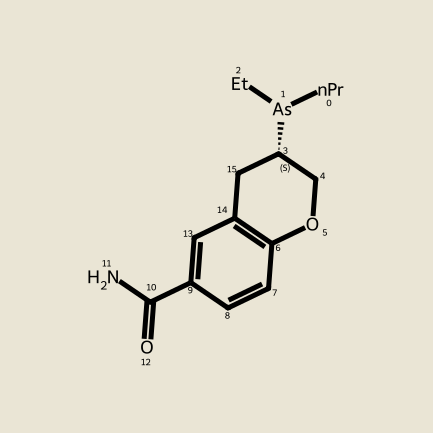 CCC[As](CC)[C@@H]1COc2ccc(C(N)=O)cc2C1